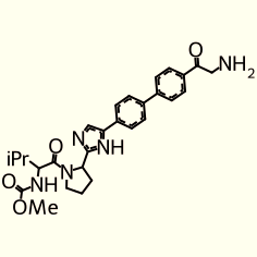 COC(=O)NC(C(=O)N1CCCC1c1ncc(-c2ccc(-c3ccc(C(=O)CN)cc3)cc2)[nH]1)C(C)C